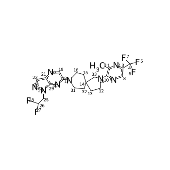 Cc1nc(C(F)(F)F)cnc1N1CCC2(CCN(c3cnc4cnn(CC(F)F)c4n3)CC2)C1